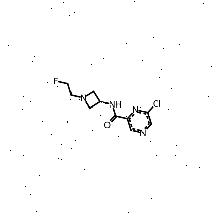 O=C(NC1CN(CCF)C1)c1cncc(Cl)n1